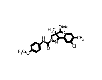 COC(=O)C1(C)CN(C(=O)Nc2ccc(OC(F)(F)F)cc2)N=C1c1ccc(C(F)(F)F)c(Cl)c1